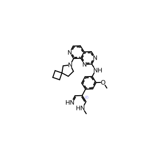 CN/C=C(\C=N)c1ccc(Nc2ncc3ccnc(N4CCC5(CCC5)C4)c3n2)c(OC)c1